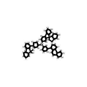 CC1(C)c2ccccc2-c2cccc(-c3ccc(N(c4cccc(-c5cccc6c5ccc5ccccc56)c4)c4ccc5c(c4)C4(CCc6ccccc64)c4ccccc4-5)cc3)c21